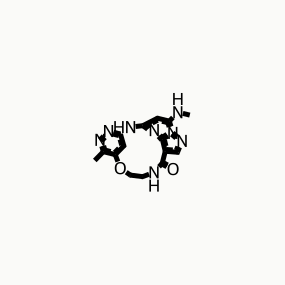 CNc1cc2nc3c(cnn13)C(=O)NCCOc1cc(nnc1C)N2